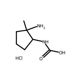 CC1(N)CCCC1NC(=O)O.Cl